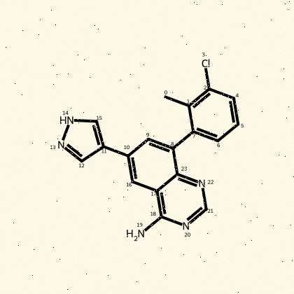 Cc1c(Cl)cccc1-c1cc(-c2cn[nH]c2)cc2c(N)ncnc12